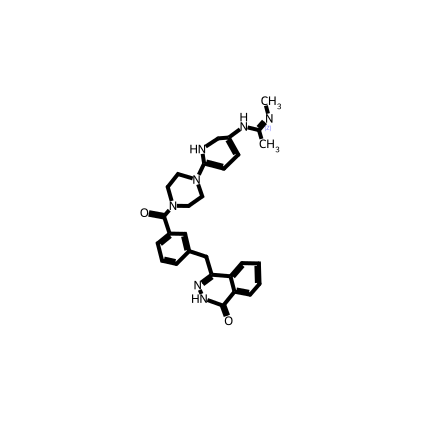 C/N=C(/C)NC1=CC=C(N2CCN(C(=O)c3cccc(Cc4n[nH]c(=O)c5ccccc45)c3)CC2)NC1